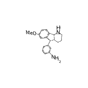 COc1ccc2c(c1)C(c1cccc(N)c1)C1CCCNC21